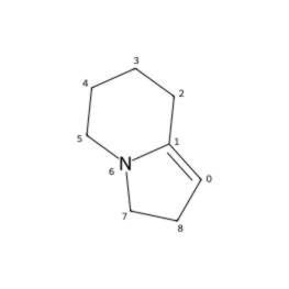 C1=C2CCCCN2CC1